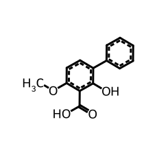 COc1ccc(-c2ccccc2)c(O)c1C(=O)O